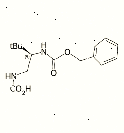 CC(C)(C)[C@H](CNC(=O)O)NC(=O)OCc1ccccc1